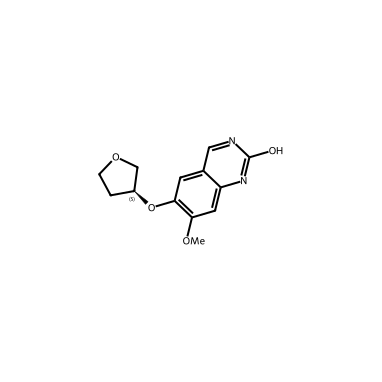 COc1cc2nc(O)ncc2cc1O[C@H]1CCOC1